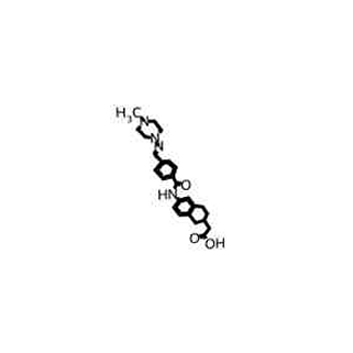 CN1CCN(N=Cc2ccc(C(=O)Nc3ccc4c(c3)CCC(CC(=O)O)C4)cc2)CC1